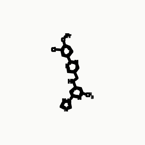 CC(C)Oc1ccc(-c2ncc(CNc3cc(-n4cncn4)nc(C(F)(F)F)c3)cn2)cc1Cl